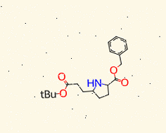 CC(C)(C)OC(=O)CCC1CCC(C(=O)OCc2ccccc2)N1